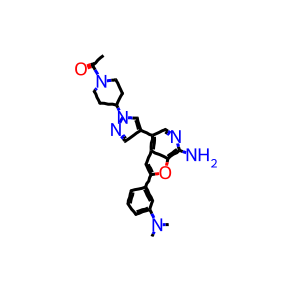 CC(=O)N1CCC(n2cc(-c3cnc(N)c4oc(-c5cccc(N(C)C)c5)cc34)cn2)CC1